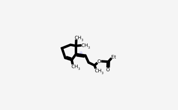 CCC(=O)OC(C)C/C=C1\C(C)=CCCC1(C)C